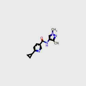 Cn1cc(NC(=O)c2ccc(C3CC3)nc2)c(C#N)n1